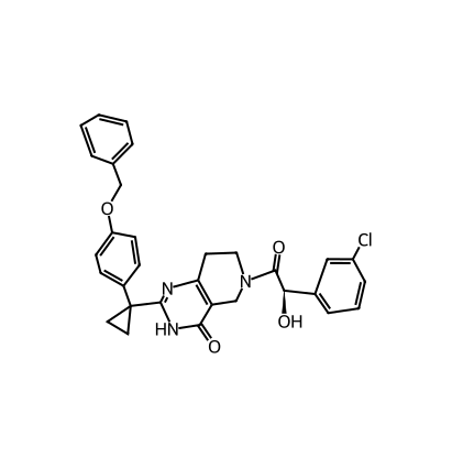 O=C([C@H](O)c1cccc(Cl)c1)N1CCc2nc(C3(c4ccc(OCc5ccccc5)cc4)CC3)[nH]c(=O)c2C1